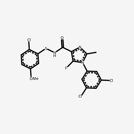 COc1ccc(Cl)c(SNC(=O)c2nc(C)n(-c3cc(Cl)cc(Cl)c3)c2F)c1